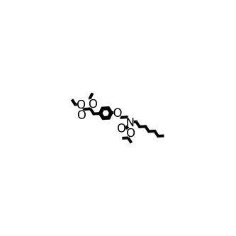 CCCCCCCN(CCOc1ccc(CC(OCC)C(=O)OCC)cc1)C(=O)OC(C)C